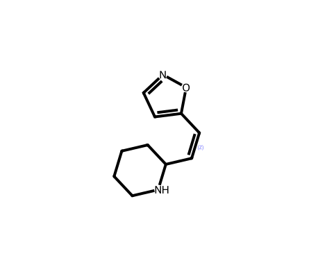 C(=C/C1CCCCN1)/c1ccno1